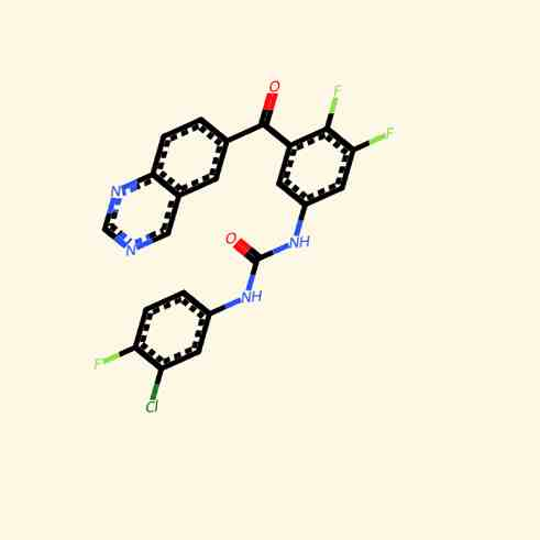 O=C(Nc1ccc(F)c(Cl)c1)Nc1cc(F)c(F)c(C(=O)c2ccc3ncncc3c2)c1